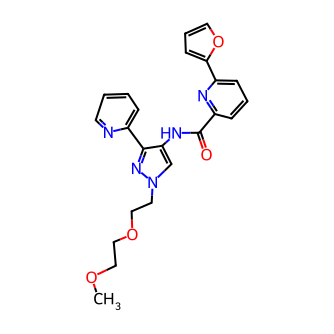 COCCOCCn1cc(NC(=O)c2cccc(-c3ccco3)n2)c(-c2ccccn2)n1